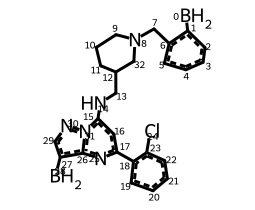 Bc1ccccc1CN1CCCC(CNc2cc(-c3ccccc3Cl)nc3c(B)cnn23)C1